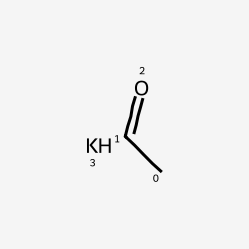 CC=O.[KH]